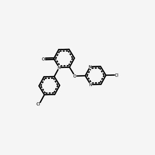 O=c1cccc(Oc2ncc(Cl)cn2)n1-c1ccc(Cl)cc1